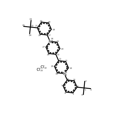 CC(C)(C)c1cccc(-[n+]2ccc(-c3cc[n+](-c4cccc(C(C)(C)C)c4)cc3)cc2)c1.[Cl-].[Cl-]